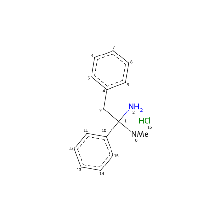 CNC(N)(Cc1ccccc1)c1ccccc1.Cl